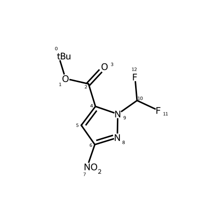 CC(C)(C)OC(=O)c1cc([N+](=O)[O-])nn1C(F)F